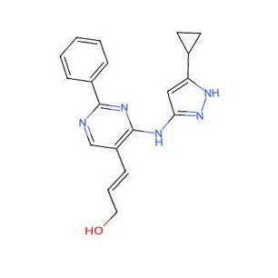 OCC=Cc1cnc(-c2ccccc2)nc1Nc1cc(C2CC2)[nH]n1